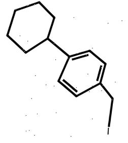 ICc1ccc(C2CCCCC2)cc1